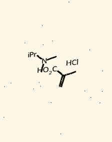 C=C(C)C(=O)O.CC(C)N(C)C.Cl